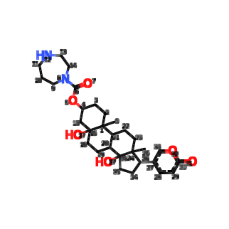 CC12CCC(OC(=O)N3CCCNCC3)CC1(O)CCC1C2CCC2(C)C(c3ccc(=O)oc3)CCC12O